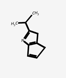 CC(C)C1=NC2=C(CC=C2)C1